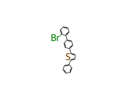 Brc1ccccc1-c1ccc(-c2ccc(-c3ccccc3)s2)cc1